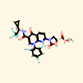 COC(=O)[C@H]1CN(c2ccc3c(=O)c(C(=O)N[C@@H](C4CC4)C(F)(F)F)cn(-c4c(F)cc(F)cc4F)c3n2)C(=O)O1